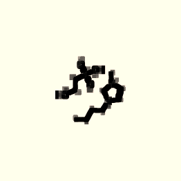 CCCCN1C=CN(C)C1.O=S(=O)(O)CCO